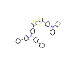 c1ccc(-c2ccc(N(c3ccc(-c4ccccc4)cc3)c3ccc(-c4csc5c4sc4c(-c6ccc(N(c7ccccc7)c7ccccc7)cc6)csc45)cc3)cc2)cc1